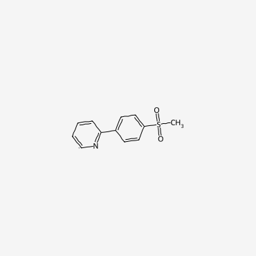 CS(=O)(=O)c1ccc(-c2ccc[c]n2)cc1